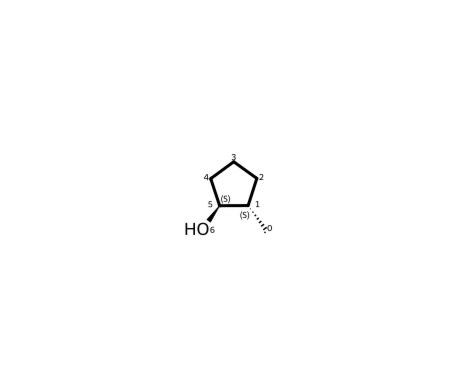 [CH2][C@H]1CCC[C@@H]1O